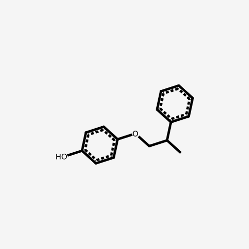 CC(COc1ccc(O)cc1)c1ccccc1